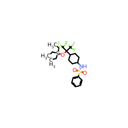 CC[Si](CC)(CC)OC(C1CCC(NS(=O)(=O)c2ccccc2)CC1)(C(F)(F)F)C(F)(F)F